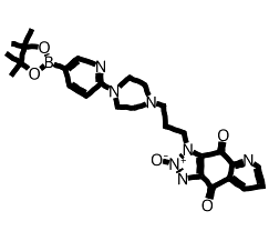 CC1(C)OB(c2ccc(N3CCN(CCCn4c5c(n[n+]4[O-])C(=O)c4cccnc4C5=O)CC3)nc2)OC1(C)C